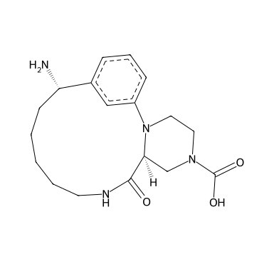 N[C@H]1CCCCCNC(=O)[C@@H]2CN(C(=O)O)CCN2c2cccc1c2